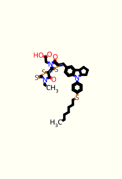 CCCCCCCSc1ccc(N2c3ccc(/C=c4\s/c(=C5/SC(=S)N(CC)C5=O)n(CC(=O)O)c4=O)cc3C3CCCC32)cc1